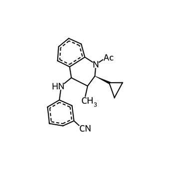 CC(=O)N1c2ccccc2C(Nc2cccc(C#N)c2)C(C)[C@@H]1C1CC1